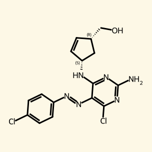 Nc1nc(Cl)c(N=Nc2ccc(Cl)cc2)c(N[C@@H]2C=C[C@H](CO)C2)n1